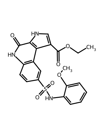 CCOC(=O)c1c[nH]c2c(=O)[nH]c3ccc(S(=O)(=O)Nc4ccccc4OC)cc3c12